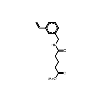 C=Cc1cccc(CNC(=O)CCCC(=O)OC)c1